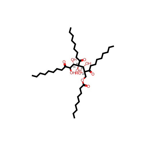 CCCCCCCCC(=O)OC[C@](O)(C(=O)CCCCCCCC)[C@@H](O)[C@@](O)(C(=O)CCCCCCCC)[C@@H](O)C(O)C(=O)CCCCCCCC